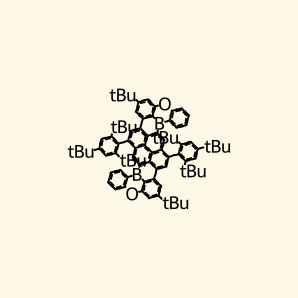 CC(C)(C)c1cc2c3c(c1)-c1cc(-c4c(C(C)(C)C)cc(C(C)(C)C)cc4C(C)(C)C)c4cc5c6c(cc(-c7c(C(C)(C)C)cc(C(C)(C)C)cc7C(C)(C)C)c7cc(c1c4c76)B3c1ccccc1O2)-c1cc(C(C)(C)C)cc2c1B5c1ccccc1O2